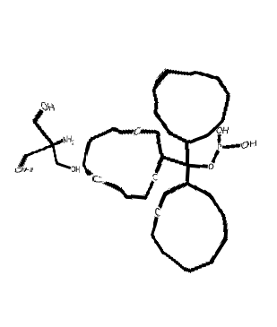 NC(CO)(CO)CO.OP(O)OC(C1CCCCCCCCC1)(C1CCCCCCCCC1)C1CCCCCCCCC1